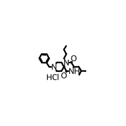 CCCCN1C(=O)C(CC(C)C)NC(=O)C12CCN(Cc1ccccc1)CC2.Cl